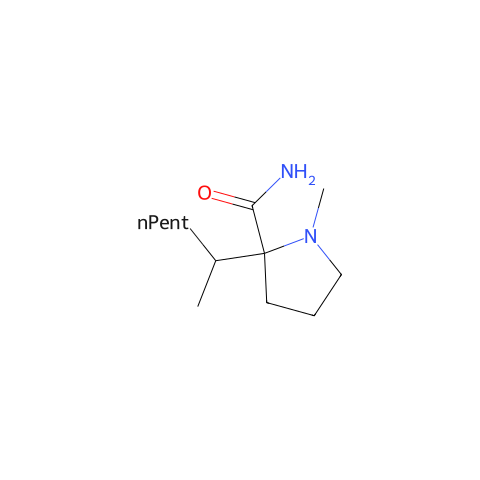 CCCCCC(C)C1(C(N)=O)CCCN1C